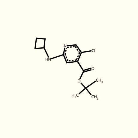 CC(C)(C)OC(=O)c1cc(NC2CCC2)ncc1Cl